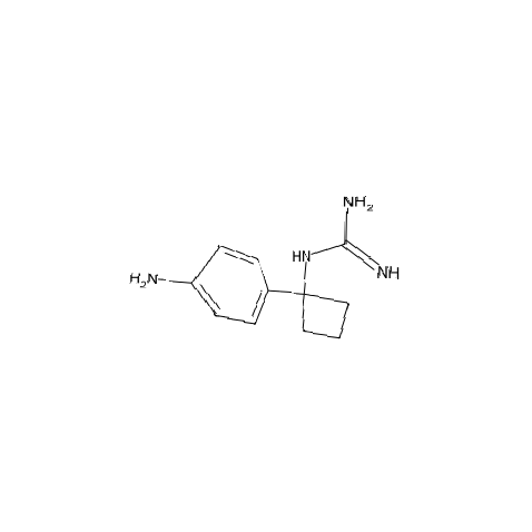 N=C(N)NC1(c2ccc(N)cc2)CCC1